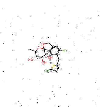 C[C@H]1O[C@]2(OCc3cc(F)c(Cc4ccc(Cl)s4)cc32)[C@H](O)[C@@H](O)[C@@H]1O